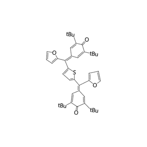 CC(C)(C)C1=CC(=C(c2ccco2)c2ccc(C(=C3C=C(C(C)(C)C)C(=O)C(C(C)(C)C)=C3)c3ccco3)s2)C=C(C(C)(C)C)C1=O